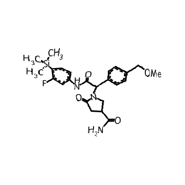 COCc1ccc(C(C(=O)Nc2ccc([Si](C)(C)C)c(F)c2)N2CC(C(N)=O)CC2=O)cc1